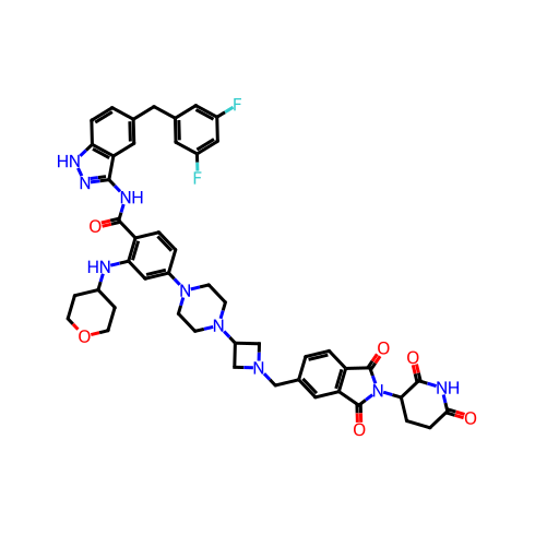 O=C1CCC(N2C(=O)c3ccc(CN4CC(N5CCN(c6ccc(C(=O)Nc7n[nH]c8ccc(Cc9cc(F)cc(F)c9)cc78)c(NC7CCOCC7)c6)CC5)C4)cc3C2=O)C(=O)N1